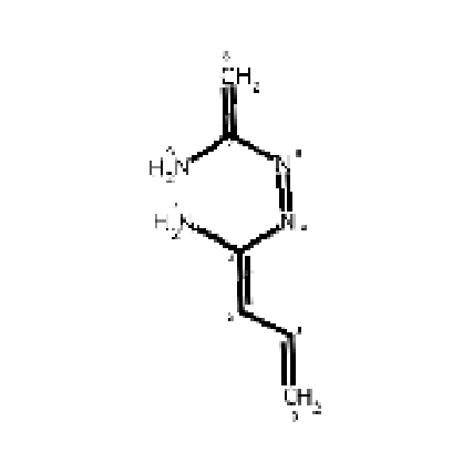 C=C/C=C(N)\N=N/C(=C)N